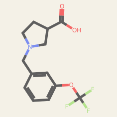 O=C(O)C1CCN(Cc2cccc(OC(F)(F)F)c2)C1